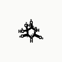 O=C1NC(=O)C(O)(O)C(=O)N1